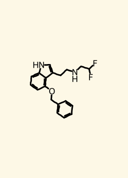 FC(F)CNCCc1c[nH]c2cccc(OCc3ccccc3)c12